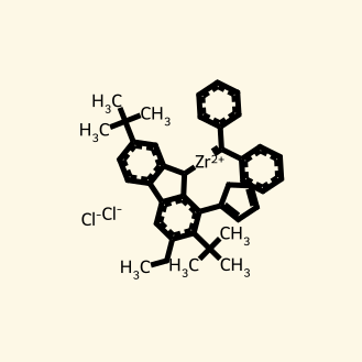 CCc1cc2c(c(C3=CC=CC3)c1C(C)(C)C)[CH]([Zr+2]=[C](c1ccccc1)c1ccccc1)c1cc(C(C)(C)C)ccc1-2.[Cl-].[Cl-]